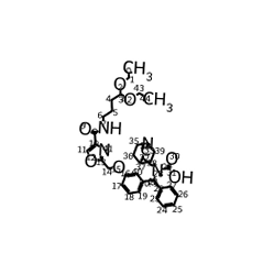 CCOC(CCCNC(=O)c1coc(COc2cccc([C@H](c3ccccc3)N(C(=O)O)C3CN4CCC3CC4)c2)n1)OCC